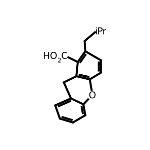 CC(C)Cc1ccc2c(c1C(=O)O)Cc1ccccc1O2